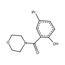 CC(C)c1ccc(O)c(C(=O)N2CCOCC2)c1